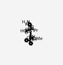 COC(=O)N[C@H](C(=O)NCCCC[C@@H](COP(=O)(O)O)N(CC(C)C)S(=O)(=O)c1ccc(N)c(F)c1)C(c1ccccc1)c1ccccc1